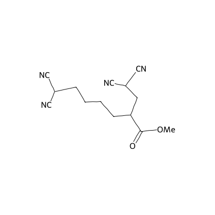 COC(=O)C(CCCCC(C#N)C#N)CC(C#N)C#N